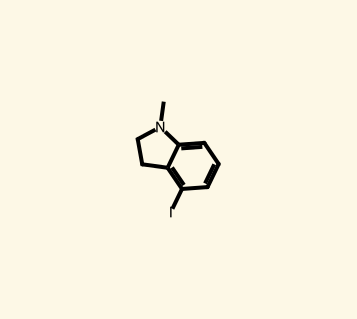 CN1CCc2c(I)cccc21